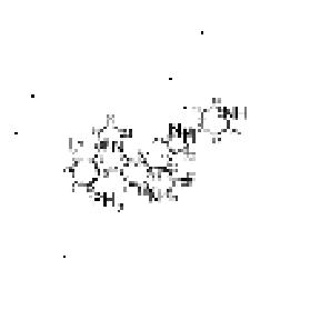 Fc1ccc(P)cc1[C@H]1CCCN1c1ccc2ncc(F)c(-c3cnn(C4CCNCC4)c3)c2n1